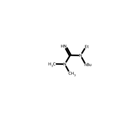 CCCCN(CC)C(=N)N(C)C